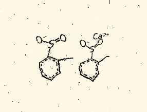 Cc1ccccc1S(=O)[O-].Cc1ccccc1S(=O)[O-].[Ca+2]